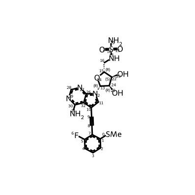 CSc1cccc(F)c1C#Cc1cn([C@@H]2O[C@H](CNS(N)(=O)=O)[C@@H](O)[C@H]2O)c2ncnc(N)c12